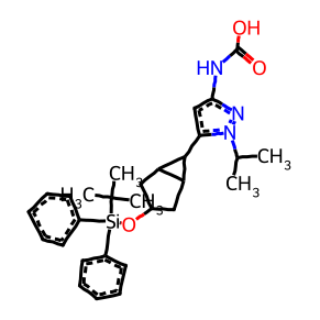 CC(C)n1nc(NC(=O)O)cc1C1C2CC(O[Si](c3ccccc3)(c3ccccc3)C(C)(C)C)CC21